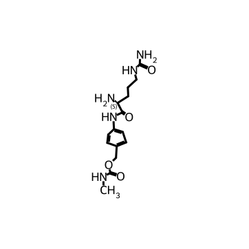 CNC(=O)OCc1ccc(NC(=O)[C@@H](N)CCCNC(N)=O)cc1